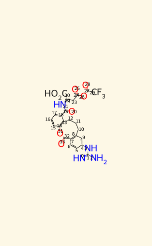 N=C(N)Nc1ccc2c(c1)CCCc1c(cccc1C(=O)N[C@@H](CC(=O)OC(=O)C(F)(F)F)C(=O)O)OC2=O